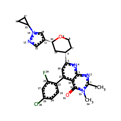 Cc1nc2nc([C@H]3CCO[C@@H](c4cnn(C5CC5)c4)C3)cc(-c3ccc(Cl)cc3F)c2c(=O)n1C